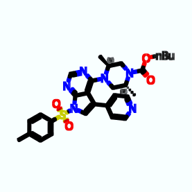 CCCCOC(=O)N1C[C@H](C)N(c2ncnc3c2c(-c2ccncc2)cn3S(=O)(=O)c2ccc(C)cc2)C[C@H]1C